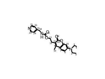 CCN(CC)c1ccc2c(C)c(CCOC(=O)NCc3ccncc3)c(=O)oc2c1